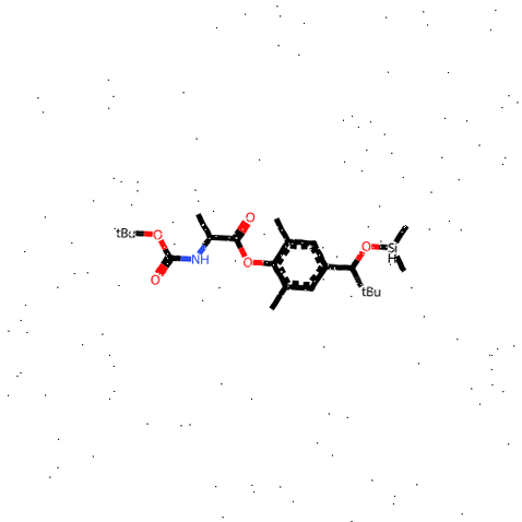 Cc1cc(C(O[SiH](C)C)C(C)(C)C)cc(C)c1OC(=O)C(C)NC(=O)OC(C)(C)C